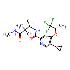 CNC(=O)C(C)(C)C(C)NC(=O)c1cc(O[C@@H](C)C(F)(F)F)c(C2CC2)cn1